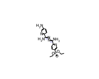 CCOP(=O)(OCC)c1ccc(/C(N)=N/N=C(\N)c2ccc(N)cn2)nc1